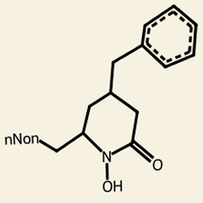 CCCCCCCCCCC1CC(Cc2ccccc2)CC(=O)N1O